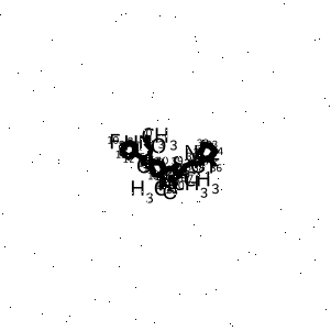 CNC(=O)c1c(-c2ccc(F)cc2)oc2cc(N(C)S(C)(=O)=O)c(-c3cc(C)c(-c4nc5cccc(F)c5o4)s3)cc12